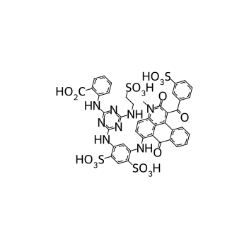 Cn1c(=O)c(C(=O)c2cccc(S(=O)(=O)O)c2)c2c3c(c(Nc4cc(Nc5nc(NCCS(=O)(=O)O)nc(Nc6ccccc6C(=O)O)n5)c(S(=O)(=O)O)cc4S(=O)(=O)O)ccc31)C(=O)c1ccccc1-2